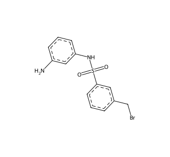 Nc1cccc(NS(=O)(=O)c2cccc(CBr)c2)c1